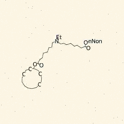 CCCCCCCCCOC(=O)CCCCCCCN(CC)CCCCCCCC(=O)OC1CCCCCCCCCCCCCC1